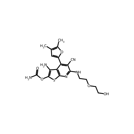 Cc1cc(-c2c(C#N)c(NCCOCCO)nc3sc(OC(N)=O)c(N)c23)oc1C